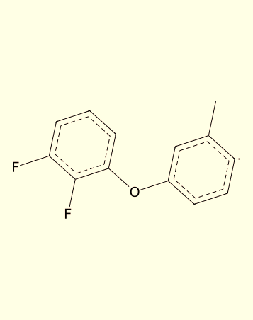 Cc1[c]ccc(Oc2cccc(F)c2F)c1